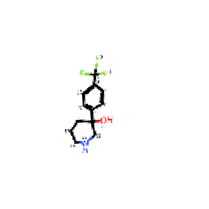 OC1(c2ccc(C(F)(F)F)cc2)CCCNC1